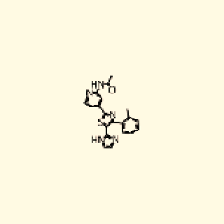 CC(=O)Nc1cc(-c2nc(-c3ccccc3C)c(-c3ncc[nH]3)s2)ccn1